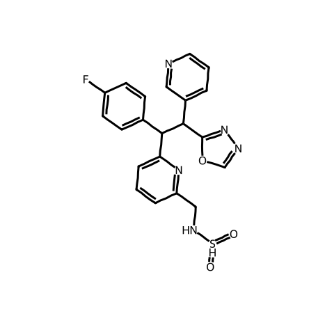 O=[SH](=O)NCc1cccc(C(c2ccc(F)cc2)C(c2cccnc2)c2nnco2)n1